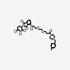 Cc1ccc(CN2CCN(C(=O)CCOCCOCCNc3cccc4c3C(=O)N(C3CCC(=O)NC3=O)C4=O)CC2)cc1